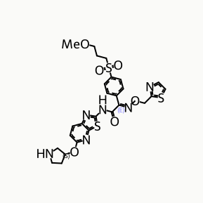 COCCCS(=O)(=O)c1ccc(/C(=N\OCc2nccs2)C(=O)Nc2nc3ccc(O[C@H]4CCNC4)nc3s2)cc1